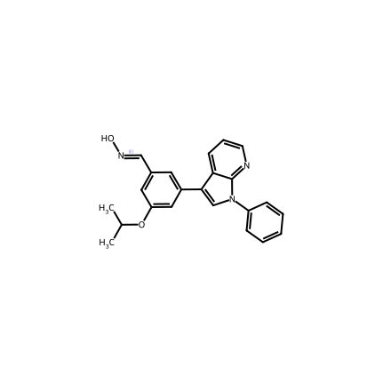 CC(C)Oc1cc(/C=N/O)cc(-c2cn(-c3ccccc3)c3ncccc23)c1